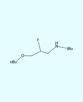 CCCCOCC(F)CNC(C)(C)C